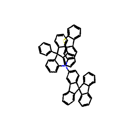 c1ccc(C2(c3ccccc3N(c3ccc4c(c3)-c3ccccc3C43c4ccccc4-c4ccccc43)c3ccc4c(c3)sc3ccccc34)c3ccccc3-c3ccccc32)cc1